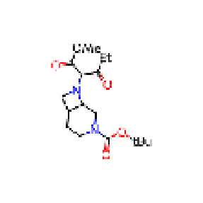 CCC(=O)C(C(=O)OC)N1CC2CCN(C(=O)OC(C)(C)C)CC21